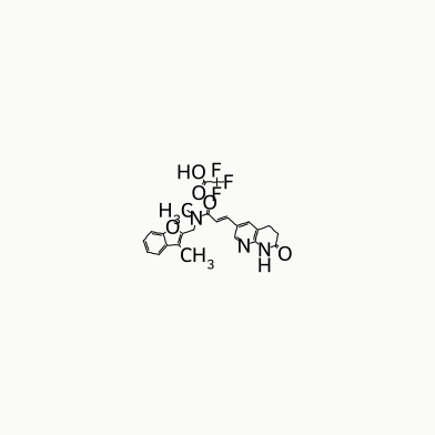 Cc1c(CN(C)C(=O)/C=C/c2cnc3c(c2)CCC(=O)N3)oc2ccccc12.O=C(O)C(F)(F)F